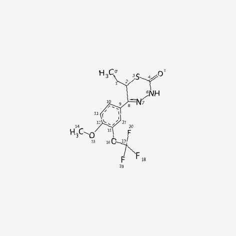 CCC1SC(=O)NN=C1c1ccc(OC)c(OC(F)(F)F)c1